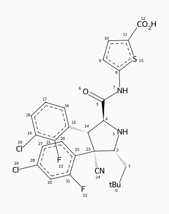 CC(C)(C)C[C@H]1N[C@H](C(=O)Nc2ccc(C(=O)O)s2)[C@@H](c2cccc(Cl)c2F)[C@]1(C#N)c1ccc(Cl)cc1F